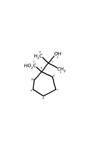 CC(C)(O)C1(C(=O)O)CCCCC1